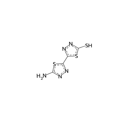 Nc1nnc(-c2nnc(S)s2)s1